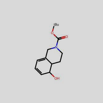 CC(C)(C)OC(=O)N1CCC2C(=CC=CC2O)C1